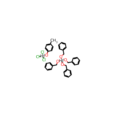 Cc1ccc([O][Hf]([Cl])([Cl])[Cl])cc1.c1ccc(C[O][Hf]([O]Cc2ccccc2)([O]Cc2ccccc2)[O]Cc2ccccc2)cc1